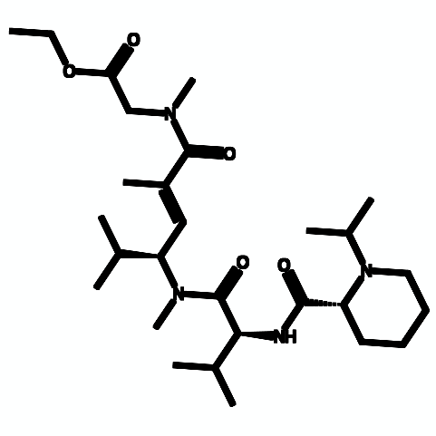 CCOC(=O)CN(C)C(=O)/C(C)=C/[C@H](C(C)C)N(C)C(=O)[C@@H](NC(=O)[C@H]1CCCCN1C(C)C)C(C)C